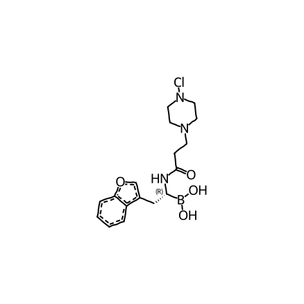 O=C(CCN1CCN(Cl)CC1)N[C@@H](Cc1coc2ccccc12)B(O)O